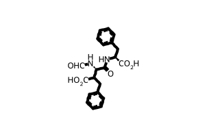 O=CN[C@H](C(=O)N[C@@H](Cc1ccccc1)C(=O)O)C(Cc1ccccc1)C(=O)O